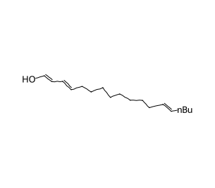 CCCCC=CCCCCCCCCC=CC=CO